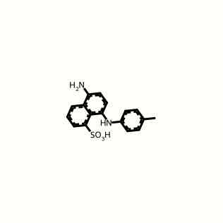 Cc1ccc(Nc2ccc(N)c3cccc(S(=O)(=O)O)c23)cc1